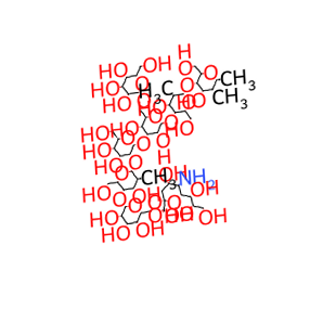 C[C@@H]1OC(CO)[C@@H](O[C@@H]2OC(CO)[C@@H](O[C@@H]3OC(CO[C@H]4OC(CO)[C@@H](O)C(O)[C@H]4O)[C@@H](O)C(O[C@H]4O[C@H](CO)[C@@H](O)C(O)C4O[C@@H]4OC(CO)[C@@H](O[C@@H]5OC(CO[C@]6(C(=O)O)C[C@@H](O)[C@@H](N)C(C(O)C(O)CO)O6)[C@H](O)C(O)[C@@H]5O)C(O)[C@@H]4C)[C@H]3O)C(O)[C@@H]2C)C(O)[C@@H]1C